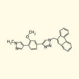 COc1cc(-c2cn(Cc3cc4ccccc4c4ccccc34)nn2)ccc1-c1cnn(C)c1